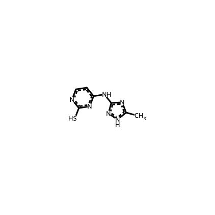 Cc1nc(Nc2ccnc(S)n2)n[nH]1